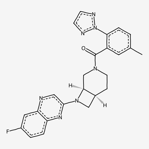 Cc1ccc(-n2nccn2)c(C(=O)N2CC[C@H]3CN(c4cnc5cc(F)ccc5n4)[C@H]3C2)c1